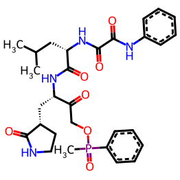 CC(C)C[C@H](NC(=O)C(=O)Nc1ccccc1)C(=O)N[C@@H](C[C@@H]1CCNC1=O)C(=O)COP(C)(=O)c1ccccc1